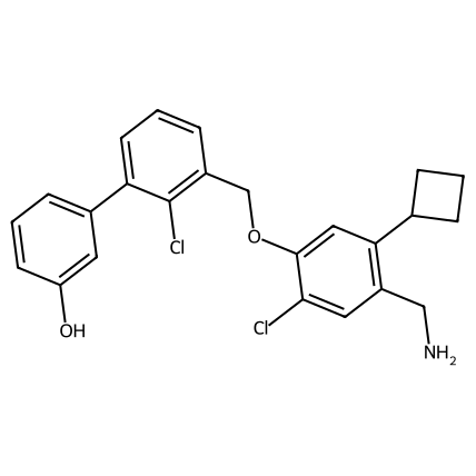 NCc1cc(Cl)c(OCc2cccc(-c3cccc(O)c3)c2Cl)cc1C1CCC1